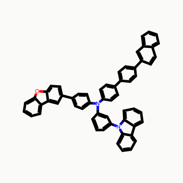 c1cc(N(c2ccc(-c3ccc(-c4ccc5ccccc5c4)cc3)cc2)c2ccc(-c3ccc4oc5ccccc5c4c3)cc2)cc(-n2c3ccccc3c3ccccc32)c1